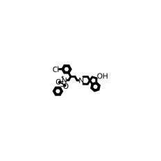 CN(CC(CCN1CCC2(CC1)CC(O)c1ccccc12)c1cccc(Cl)c1)S(=O)(=O)c1ccccc1